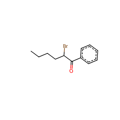 CCCCC(Br)C(=O)c1ccccc1